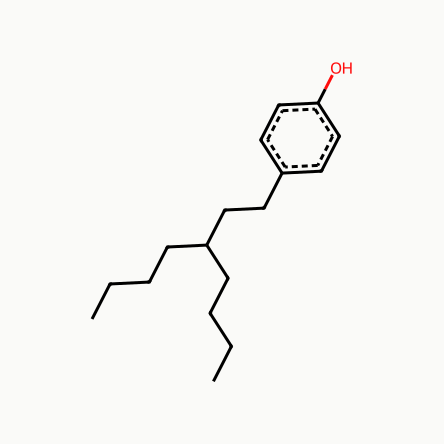 CCCCC(CCCC)CCc1ccc(O)cc1